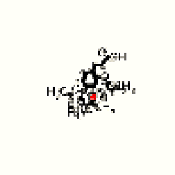 CCOP(=O)(OCC)c1c(P(=O)(OC(C)C)OC(C)C)ccc(CCC(=O)O)c1OC